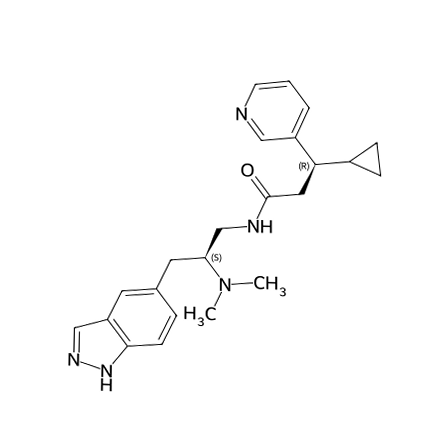 CN(C)[C@H](CNC(=O)C[C@@H](c1cccnc1)C1CC1)Cc1ccc2[nH]ncc2c1